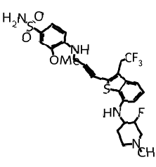 COc1cc(S(N)(=O)=O)ccc1NCC#Cc1sc2c(NC3CCN(C)CC3F)cccc2c1CC(F)(F)F